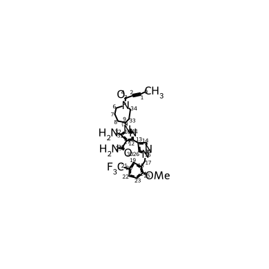 CC#CC(=O)N1CCC[C@H](n2nc(-c3cnn(Cc4cc(C(F)(F)F)ccc4OC)c3)c(C(N)=O)c2N)CC1